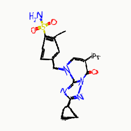 Cc1cc(Cn2cc(C(C)C)c(=O)n3nc(C4CC4)nc23)ccc1S(N)(=O)=O